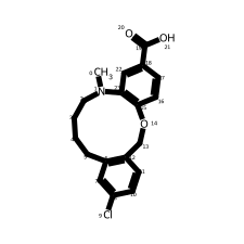 CN1CCCCc2cc(Cl)ccc2COc2ccc(C(=O)O)cc21